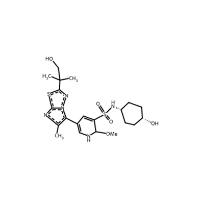 COC1NC=C(c2c(C)nc3sc(C(C)(C)CO)nn23)C=C1S(=O)(=O)N[C@H]1CC[C@@H](O)CC1